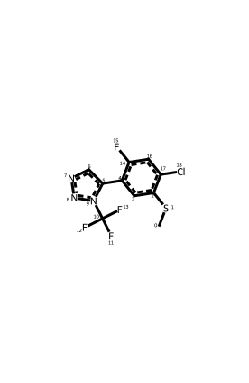 CSc1cc(-c2cnnn2C(F)(F)F)c(F)cc1Cl